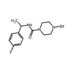 CC(NC(=O)N1CCN(S)CC1)c1ccc(F)cc1